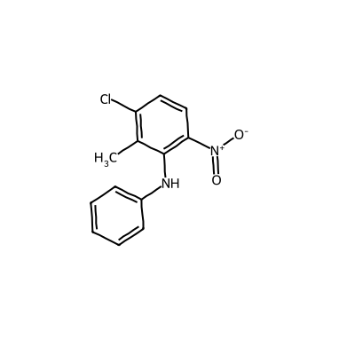 Cc1c(Cl)ccc([N+](=O)[O-])c1Nc1ccccc1